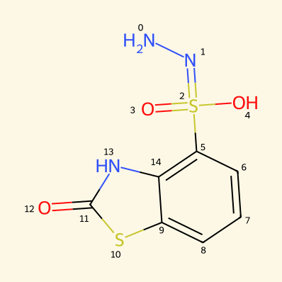 NN=S(=O)(O)c1cccc2sc(=O)[nH]c12